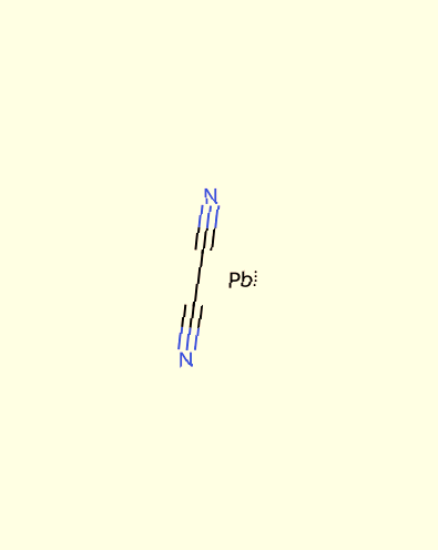 N#CC#N.[Pb]